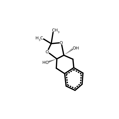 CC1(C)O[C@]2(O)Cc3ccccc3C[C@]2(O)O1